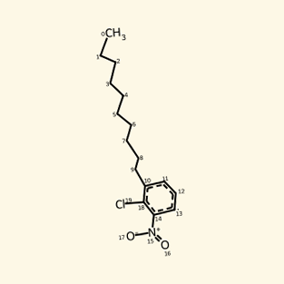 CCCCCCCCCCc1cc[c]c([N+](=O)[O-])c1Cl